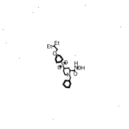 CCC(CC)COc1ccc(S(=O)(=O)C2CCN(Cc3ccccc3)C(C(=O)NO)C2)cc1